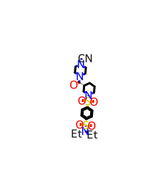 CCN(CC)S(=O)(=O)c1ccc(S(=O)(=O)N2CCC[C@@H](C(=O)N3CCN(C#N)CC3)C2)cc1